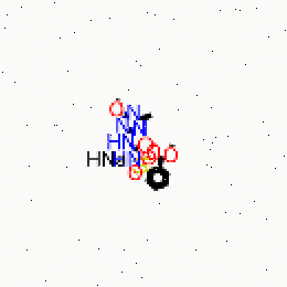 COC(=O)c1ccccc1S(=O)(=O)NC(=O)Nc1nc(C)nc(OC)n1.[NaH]